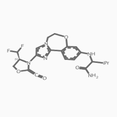 CC(C)C(Nc1ccc2c(c1)OCCn1cc(N3C(=C=O)OC[C@H]3C(F)F)nc1-2)C(N)=O